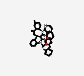 C=C1CC2c3ccccc3N3c4nc5ccccc5nc4N(c4ccccc4)C3C2C2N(c3ccc(C)cc3)c3nccnc3N2c2ccc(C)cc21